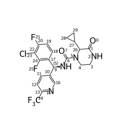 O=C1NCCN(C(=O)N[C@@H](c2ccc(C(F)(F)F)nc2)c2ccc(F)c(Cl)c2F)C1C1CC1